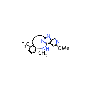 COc1cc2c3nc(nc2cn1)CCCCc1c(cccc1C(F)(F)F)[C@@H](C)N3